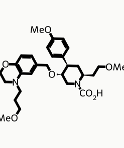 COCCCN1CCOc2ccc(CO[C@H]3CN(C(=O)O)[C@H](CCOC)C[C@@H]3c3ccc(OC)cc3)cc21